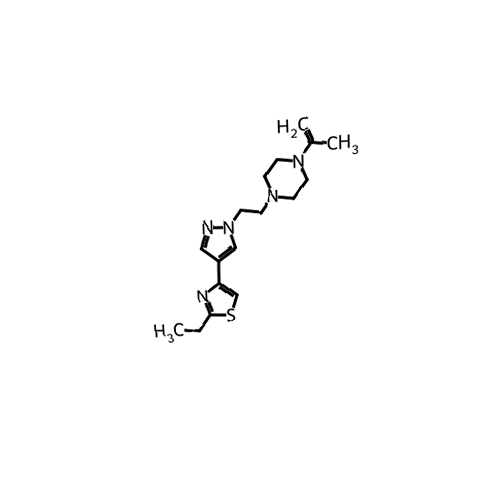 C=C(C)N1CCN(CCn2cc(-c3csc(CC)n3)cn2)CC1